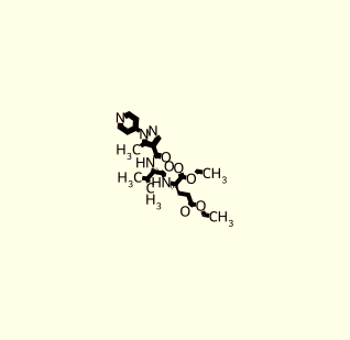 CCOC(=O)CC[C@@H](NC(=O)[C@@H](NC(=O)c1cnn(-c2ccncc2)c1C)C(C)C)C(=O)OCC